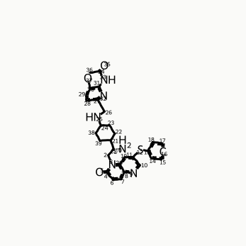 N[C@H](Cn1c(=O)ccc2ncc(Sc3ccccc3)cc21)C1CCC(NCc2ccc3c(n2)NC(=O)CO3)CC1